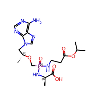 CC(C)OC(=O)CCN[P@](=O)(CO[C@H](C)Cn1cnc2c(N)ncnc21)N[C@H](C)C(=O)O